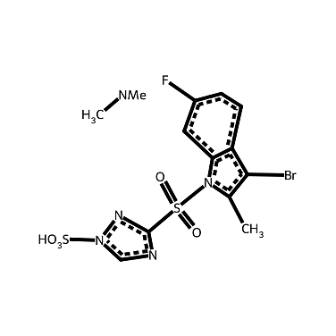 CNC.Cc1c(Br)c2ccc(F)cc2n1S(=O)(=O)c1ncn(S(=O)(=O)O)n1